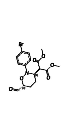 COC(=O)C(C(=O)OC)[C@H]1CC[C@H](C=O)ON1c1ccc(Br)cc1